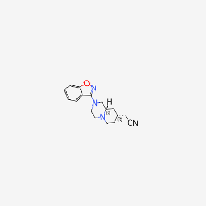 N#CC[C@@H]1CCN2CCN(c3noc4ccccc34)C[C@@H]2C1